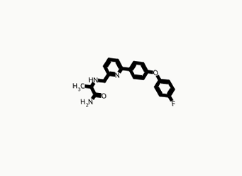 CC(NCc1cccc(-c2ccc(Oc3ccc(F)cc3)cc2)n1)C(N)=O